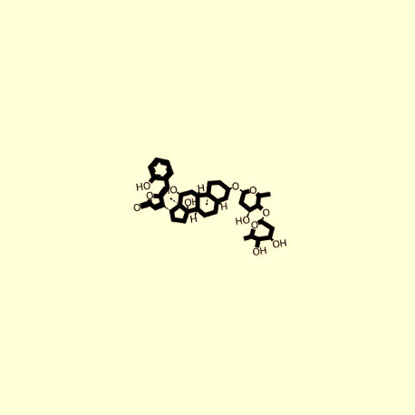 CC1O[C@H](OC2C(C)O[C@@H](O[C@H]3CC[C@@]4(C)[C@H](CC[C@@H]5[C@@H]4C[C@@H](O)[C@]4(C)[C@@H](C6=CC(=O)OC6=Cc6ccccc6O)CC[C@]54O)C3)C[C@H]2O)C[C@@H](O)C1O